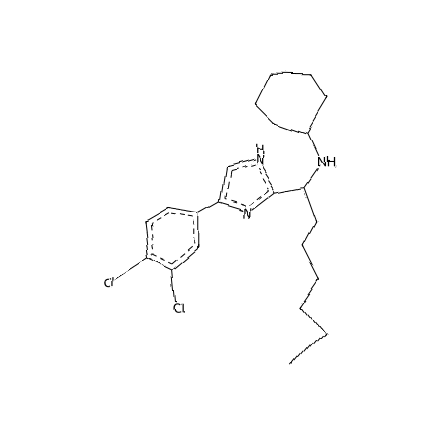 CCCCCCC(NC1CCCCC1)c1nc(-c2ccc(Cl)c(Cl)c2)c[nH]1